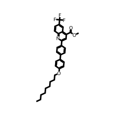 CCCCCCCCCOc1ccc(-c2ccc(-c3cc(C(=O)OC)c4cc(C(F)(F)F)ccc4n3)cc2)cc1